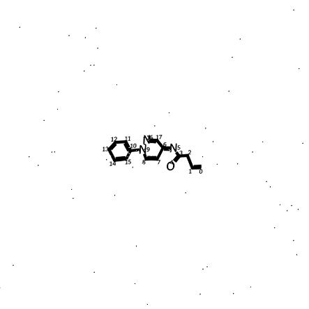 C=CCC(=O)N=c1ccn(-c2ccccc2)nc1